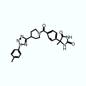 Cc1ccc(-n2nnc(C3CCN(C(=O)c4ccc(C5(C)NC(=O)NC5=O)cc4)CC3)n2)cc1